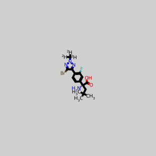 [2H]C([2H])([2H])n1nc(Br)c(-c2ccc([C@](N)(CC(C)(C)C)C(=O)O)cc2F)n1